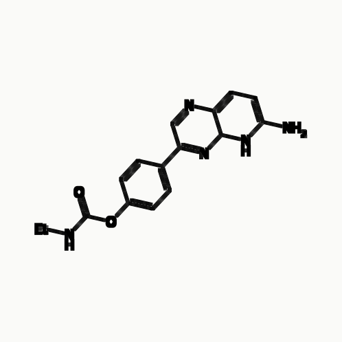 CCNC(=O)Oc1ccc(C2=NC3NC(N)=CC=C3N=C2)cc1